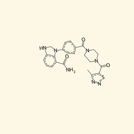 Cc1nnsc1C(=O)N1CCN(C(=O)c2ccc(N3CNc4cccc(C(N)=O)c43)cc2)CC1